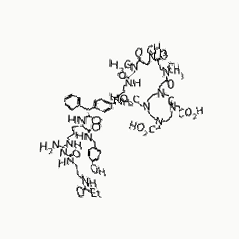 CCC(=O)NCCNC(=O)/N=C(/N)NCCC[C@@H](NC(=O)[C@H](c1ccccc1)c1ccc(NCCCNC(=O)CN(C)C(=O)CN(C)C(=O)CN(C)C(=O)CN2CCN(CC(=O)O)CCN(CC(=O)O)CCN(CC(=O)O)CC2)cc1)C(=O)NCc1ccc(O)cc1